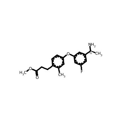 COC(=O)CCc1ccc(Oc2cc(F)cc([C@H](C)N)c2)cc1C